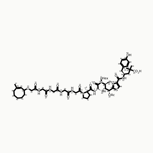 CCCCCCN(C(=O)[C@@H](NC(=O)[C@@]1(C)CCCN1C(=O)CNC(=O)CNC(=O)CNC(=O)CNC(=O)COC1/C=C(/C)CCCCC1)[C@@H](C)CC)[C@H](C[C@@H](OC(C)=O)c1nc(C(=O)N[C@@H](Cc2ccc(O)cc2)CC(C)(C)C(=O)O)cs1)C(C)C